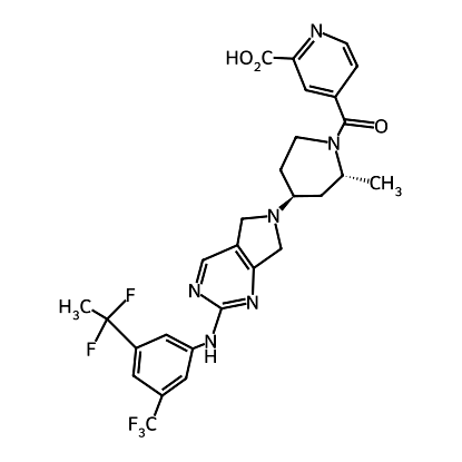 C[C@@H]1C[C@@H](N2Cc3cnc(Nc4cc(C(C)(F)F)cc(C(F)(F)F)c4)nc3C2)CCN1C(=O)c1ccnc(C(=O)O)c1